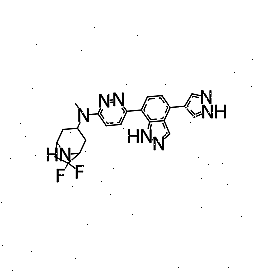 CN(c1ccc(-c2ccc(-c3cn[nH]c3)c3cn[nH]c23)nn1)C1CC2CC(F)(F)C(C1)N2